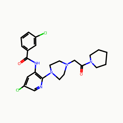 O=C(Nc1cc(Cl)cnc1N1CCN(CC(=O)N2CCCCC2)CC1)c1cccc(Cl)c1